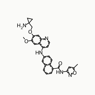 COc1cc2c(Nc3ccc4c(C(=O)Nc5cc(C)on5)cccc4c3)ccnc2cc1OCC1(N)CC1